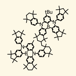 Cc1cc2c3c(c1)N(c1ccc4c(c1)C(C)(C)CC4(C)C)c1cc4c(cc1B3c1cc3c(cc1N2c1ccc2c(c1)C(C)(CC1CC(C)(C)c5cc6c(cc5C1(C)C)B1c5cc7c(cc5N(c5ccc8c(c5)C(C)(C)CC8(C)C)c5cc(C(C)(C)C)cc(c51)N6c1ccc5c(c1)C(C)(C)CCC5(C)C)C(C)(C)CC7(C)C)CCC2(C)C)C(C)(C)CCC3(C)C)C(C)(C)CC4(C)C